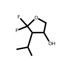 CC(C)C1C(O)COC1(F)F